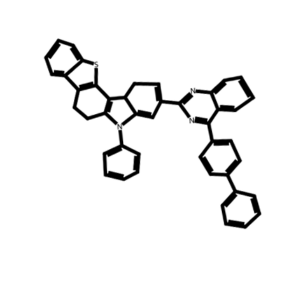 C1=C(c2nc(-c3ccc(-c4ccccc4)cc3)c3ccccc3n2)C=C2C(C1)C1=C(CCc3c1sc1ccccc31)N2c1ccccc1